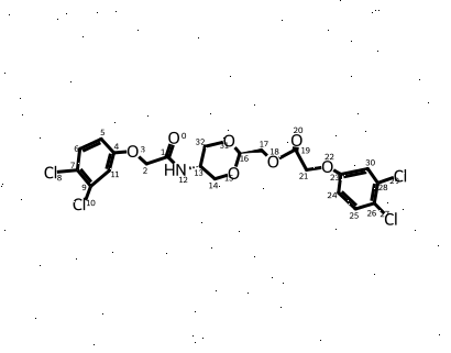 O=C(COc1ccc(Cl)c(Cl)c1)N[C@H]1CO[C@H](COC(=O)COc2ccc(Cl)c(Cl)c2)OC1